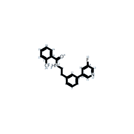 O=C(NCCc1cccc(-c2cncc(F)c2)c1)c1ccccc1C(F)(F)F